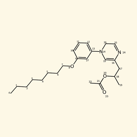 CCCCCCCCOc1cccc(N2C=C(CC(C)OC(C)=O)N=CC2)c1